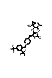 CN(C)C(=O)[C@@H](NC1=NC(=O)SC1=CC1CCN(Cc2ccc(C(F)(F)F)cc2C(F)(F)F)CC1)C1(O)CC1